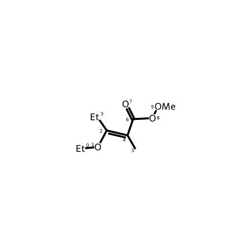 CCO/C(CC)=C(\C)C(=O)OOC